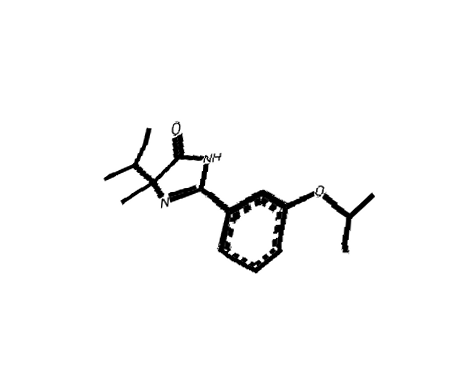 CC(C)Oc1cccc(C2=NC(C)(C(C)C)C(=O)N2)c1